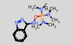 CN(C)[PH](ONC1N=Nc2ccccc21)(N(C)C)N(C)C